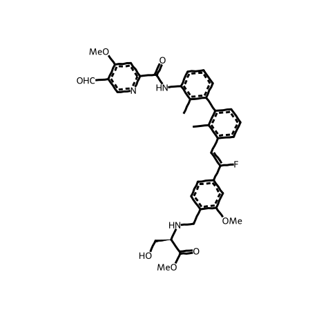 COC(=O)[C@@H](CO)NCc1ccc(/C(F)=C/c2cccc(-c3cccc(NC(=O)c4cc(OC)c(C=O)cn4)c3C)c2C)cc1OC